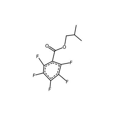 CC(C)COC(=O)c1c(F)c(F)c(F)c(F)c1F